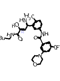 Cc1ccc(NC(=O)c2cc(N3CCOCC3)cc(C(F)(F)F)c2)cc1C(=N)/C=C(\O)C(=O)NCC(C)(C)C